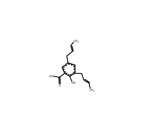 CC=CCc1cc(CC=CC)c(O)c(C(=O)O)c1